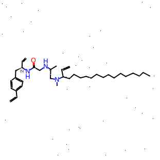 C=Cc1ccc(C[C@@H](C=C)NC(=O)CNC(C)CN(C)C(C=C)CCCCCCCCCCCCCCC)cc1